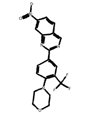 O=[N+]([O-])c1ccc2cnc(-c3ccc(N4CCOCC4)c(C(F)(F)F)c3)nc2c1